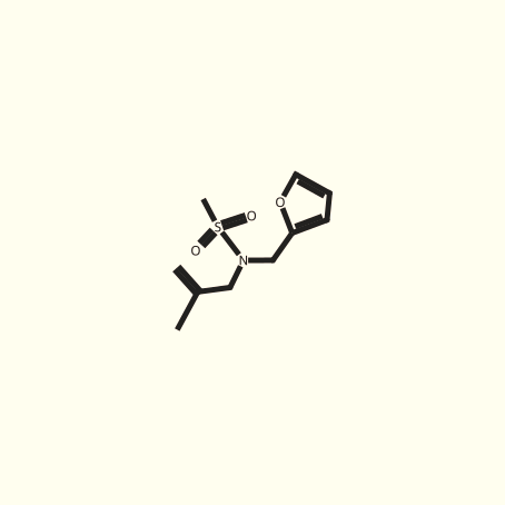 C=C(C)CN(Cc1ccco1)S(C)(=O)=O